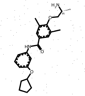 Cc1cc(C(=O)Nc2cccc(OC3CCCC3)c2)cc(C)c1OC[C@@H](C)N